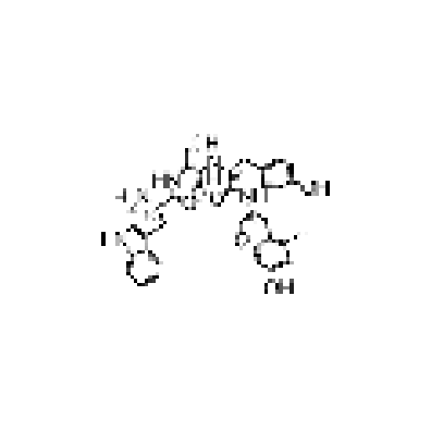 [CH2]c1cc(O)ccc1C[C@@H](C=O)NC(=O)[C@H](Cc1ccc(O)cc1)NC(=O)[C@H](CO)NC(=O)[C@@H](N)Cc1c[nH]c2ccccc12